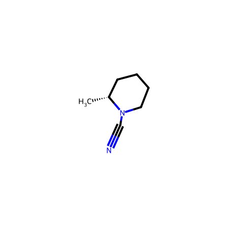 C[C@@H]1CCCCN1C#N